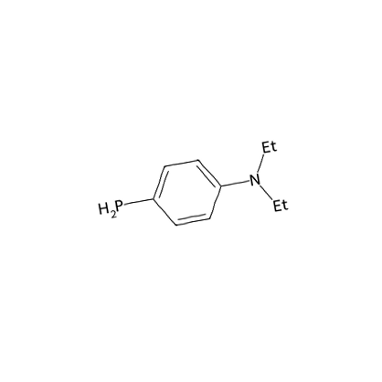 CCN(CC)c1ccc(P)cc1